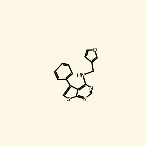 c1ccc(-c2csc3ncnc(NCc4ccoc4)c23)cc1